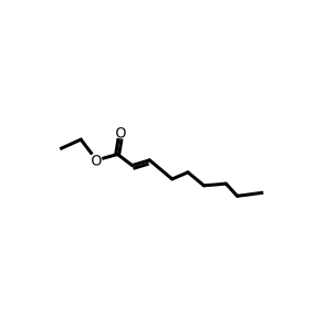 CCCCCCC=CC(=O)OCC